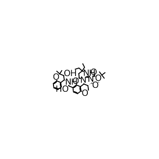 CCC1(CC)CC(=O)N([C@H]2c3cc(C(O)N[C@@H]4c5ccccc5OC(C)(C)[C@H]4O)ccc3OC[C@H]2COC)/C(=N/C(=O)OC(C)(C)C)N1